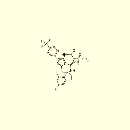 CS(=O)(=O)CC(=O)Nc1c2c(nn1-c1ccc(C(F)(F)F)cn1)C[C@]1(CCc3cc(F)cc(F)c31)NC2=O